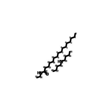 CCCCCCCCCCCCCCCC(=O)NCC.CCCCNCCCC